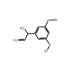 C=C[C](C)c1cc(OCC)cc(OCC)c1